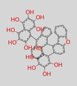 Oc1c(O)c(O)c(-c2ccc3oc4ccccc4c3c2-c2c3ccccc3c(-c3c(O)c(O)c(O)c4c(O)c(O)c(O)c(O)c34)c3ccccc23)c(O)c1O